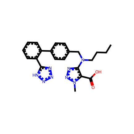 CCCCN(Cc1ccc(-c2ccccc2-c2nnn[nH]2)cc1)c1nnn(C)c1C(=O)O